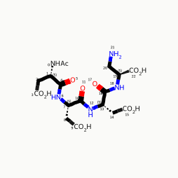 CC(=O)N[C@@H](CC(=O)O)C(=O)N[C@@H](CC(=O)O)C(=O)N[C@@H](CC(=O)O)C(=O)N[C@@H](CN)C(=O)O